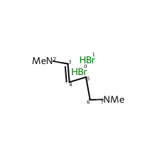 Br.Br.CN/C=C/CCNC